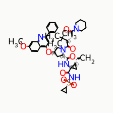 C=C[C@@H]1C[C@@]1(NC(=O)[C@@H]1C[C@@H](Oc2cc(-c3ccccc3)nc3cc(OC)ccc23)CN1C(=O)[C@@H](CC(=O)N1CCCCC1)C(C)(C)C)C(=O)NS(=O)(=O)C1CC1